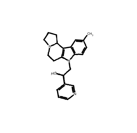 Cc1ccc2c(c1)c1c(n2CC(O)c2cccnc2)CCN2CCCC12